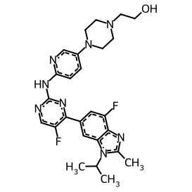 Cc1nc2c(F)cc(-c3nc(Nc4ccc(N5CCN(CCO)CC5)cn4)ncc3F)cc2n1C(C)C